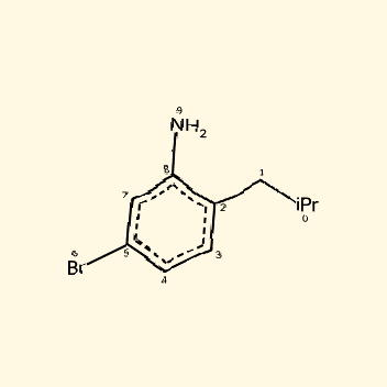 CC(C)Cc1ccc(Br)cc1N